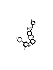 O=c1cc(N2CCOCC2)cc(-c2cccc3c2Sc2ccc(NCc4cncs4)cc2S3)[nH]1